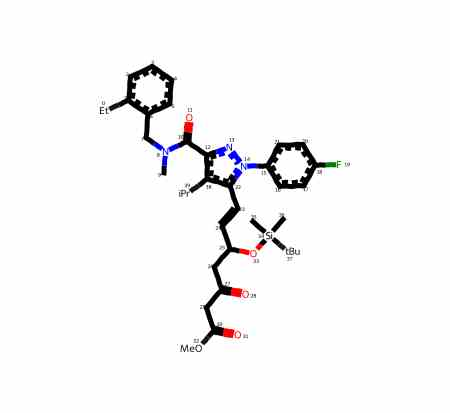 CCc1ccccc1CN(C)C(=O)c1nn(-c2ccc(F)cc2)c(/C=C/C(CC(=O)CC(=O)OC)O[Si](C)(C)C(C)(C)C)c1C(C)C